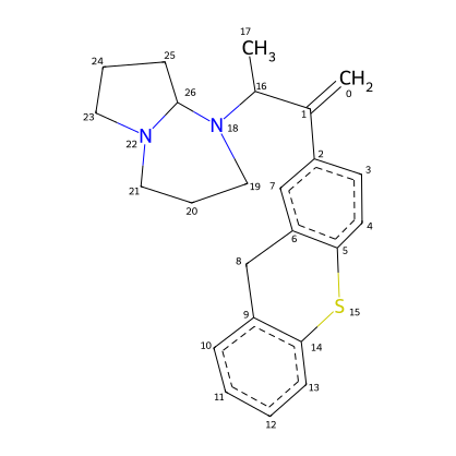 C=C(c1ccc2c(c1)Cc1ccccc1S2)C(C)N1CCCN2CCCC21